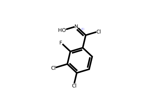 O/N=C(/Cl)c1ccc(Cl)c(Cl)c1F